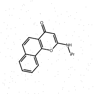 CC(C)Nc1cc(=O)c2ccc3ccccc3c2o1